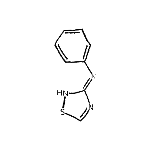 c1ccc(N=c2ncs[nH]2)cc1